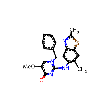 COc1cn(Cc2ccccc2)c(Nc2cc3nc(C)sc3cc2C)nc1=O